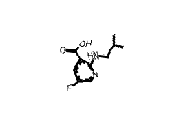 CC(C)CNc1ncc(F)cc1C(=O)O